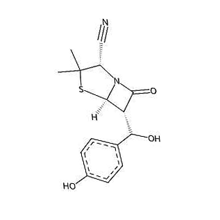 CC1(C)S[C@@H]2[C@@H](C(O)c3ccc(O)cc3)C(=O)N2[C@H]1C#N